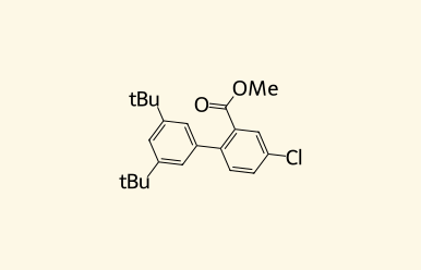 COC(=O)c1cc(Cl)ccc1-c1cc(C(C)(C)C)cc(C(C)(C)C)c1